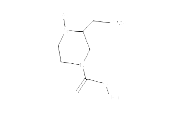 COCC1CN(C(=O)OC(C)(C)C)CCN1C(C)=O